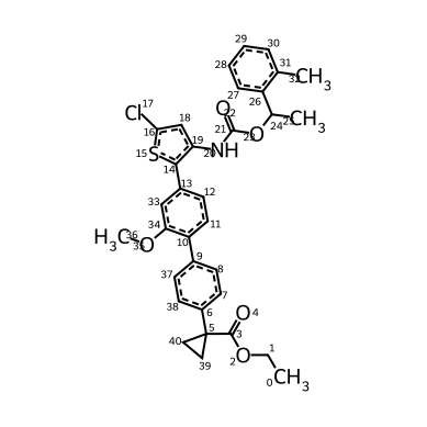 CCOC(=O)C1(c2ccc(-c3ccc(-c4sc(Cl)cc4NC(=O)OC(C)c4ccccc4C)cc3OC)cc2)CC1